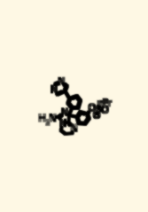 CCCS(=O)(=O)Oc1cccc(C2(c3cccc(-c4cncnc4)c3)N=C(N)N3CCCN=C32)c1